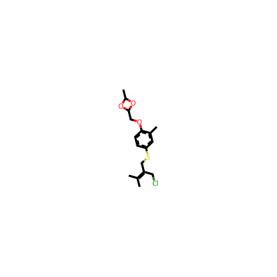 CC(C)=C(CCl)CSc1ccc(OCC2OC(C)O2)c(C)c1